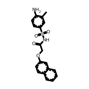 Cc1cc(S(=O)(=O)NC(=O)COc2ccc3ccccc3c2)ccc1N